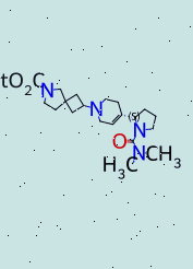 CCOC(=O)N1CCC2(CC(N3CC=C([C@@H]4CCCN4C(=O)N(C)C)CC3)C2)C1